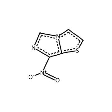 O=[N+]([O-])c1ncn2ccsc12